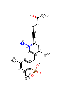 COC(=O)CCC#Cc1cc(OC)c(Cc2cc(C)cc(C)c2S(=O)(=O)[O-])c[n+]1N